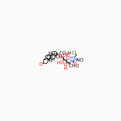 C[C@]12CC[C@H]3[C@@H](CCC4=CC(=O)CC[C@@]43C)[C@@H]1CC[C@@H]2C(OC(=O)[C@@H](O)[C@@H](O)[C@H](O)[C@H](C=O)NC(=O)N(CCCl)N=O)C(=O)O